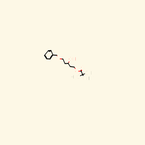 CC(C)(C)C(=O)OCCC(O)CCOCc1ccccc1